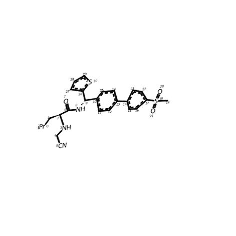 CC(C)C[C@H](NCC#N)C(=O)N[C@@H](c1ccc(-c2ccc(S(C)(=O)=O)cc2)cc1)c1cccs1